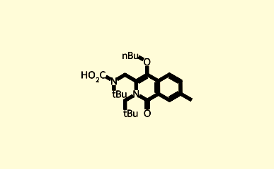 CCCCOc1c(CN(C(=O)O)C(C)(C)C)n(CC(C)(C)C)c(=O)c2cc(C)ccc12